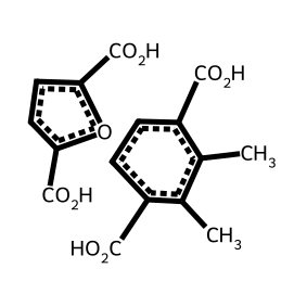 Cc1c(C(=O)O)ccc(C(=O)O)c1C.O=C(O)c1ccc(C(=O)O)o1